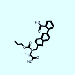 CCCOC(=O)N(Cc1ccc2cc(-c3ccccc3C(=O)O)ccc2c1)[C@@H](C)C(=O)O